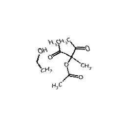 CC(=O)OC(C)(C(C)=O)C(C)=O.CCO